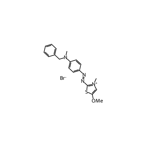 COc1c[n+](C)c(/N=N/c2ccc(N(C)Cc3ccccc3)cc2)s1.[Br-]